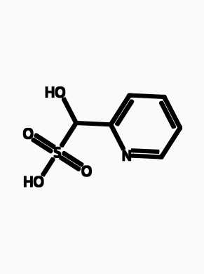 O=S(=O)(O)C(O)c1ccccn1